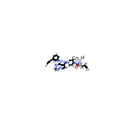 C#Cc1cccc(Nc2ncnn3ccc(CN4CCC(NC(=O)OCC=C)[C@@H](C(=O)O)C4)c23)c1